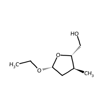 CCO[C@H]1C[C@H](C)[C@@H](CO)O1